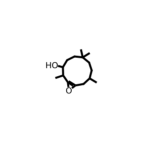 CC1CCC(C)(C)CCC(O)C(C)C2=C(C1)O2